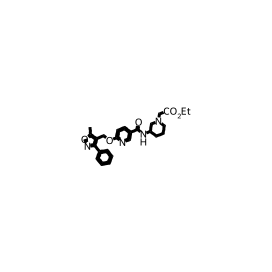 CCOC(=O)CN1CCCC(NC(=O)c2ccc(OCc3c(-c4ccccc4)noc3C)nc2)C1